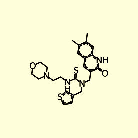 Cc1cc2cc(CN(Cc3ccsc3)C(=S)NCCN3CCOCC3)c(=O)[nH]c2cc1C